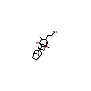 CC(C)(C)OC(=O)N1C2CCC1CN(c1ccc(CCN)c(F)c1F)C2